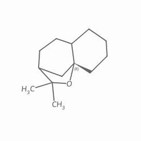 CC1(C)O[C@@]23CCCCC2CCC1C3